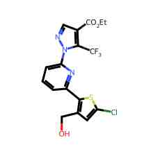 CCOC(=O)c1cnn(-c2cccc(-c3sc(Cl)cc3CO)n2)c1C(F)(F)F